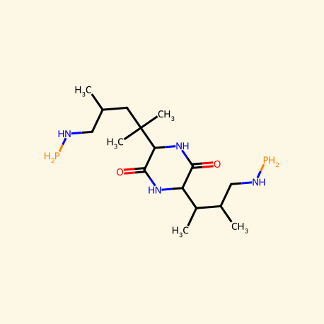 CC(CNP)CC(C)(C)C1NC(=O)C(C(C)C(C)CNP)NC1=O